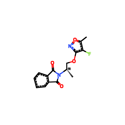 Cc1onc(OC[C@H](C)N2C(=O)c3ccccc3C2=O)c1F